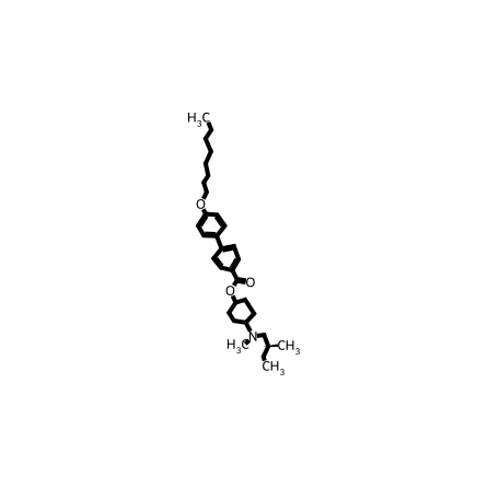 CCCCCCCCOc1ccc(-c2ccc(C(=O)OC3CCC(N(C)C[C@@H](C)CC)CC3)cc2)cc1